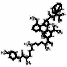 COc1cccc(OC)c1-c1cc(C(=O)NC2(C(=O)O)C3CC4CC(C3)CC2C4)nn1-c1ccc(C(=O)N(C)CCCN(C)CCCN(C)C(=S)Nc2ccc(C)cc2)cc1C(C)C